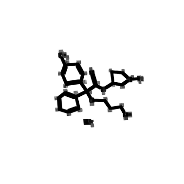 Br.CCN1CCC(OC(=O)C(OCCCO)(c2ccccc2)c2ccc(C)cc2)C1